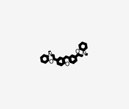 CN(CC(=O)c1ccc2c(c1)Cc1cc(C(=O)CN(C)C3CCCCC3)ccc1O2)C1CCCCC1